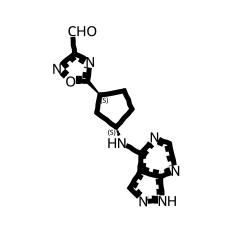 O=Cc1noc([C@H]2CC[C@H](Nc3ncnc4[nH]ncc34)C2)n1